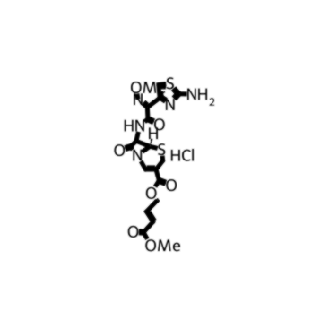 CON=C(C(=O)NC1C(=O)N2C=C(C(=O)OCC=CC(=O)OC)CS[C@H]12)c1csc(N)n1.Cl